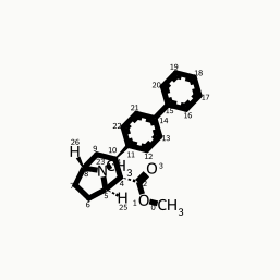 COC(=O)[C@@H]1[C@H]2CC[C@H](C[C@H]1c1ccc(-c3ccccc3)cc1)N2C